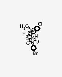 CCOC(=O)C1(C)CN(C(=O)N(C(=O)C(F)(F)F)c2ccc(Br)cc2)N=C1c1ccc(Cl)cc1